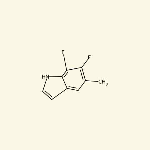 Cc1cc2cc[nH]c2c(F)c1F